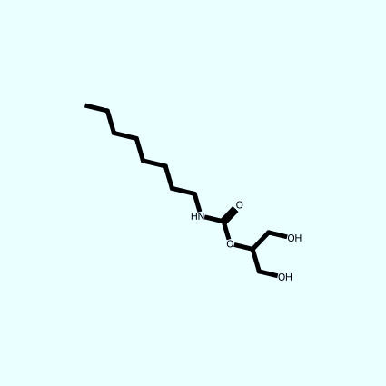 CCCCCCCCNC(=O)OC(CO)CO